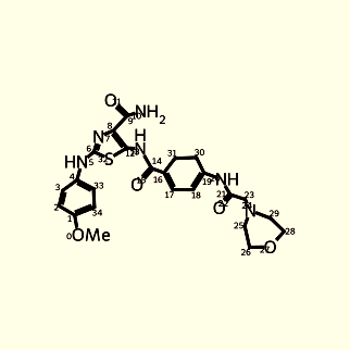 COc1ccc(Nc2nc(C(N)=O)c(NC(=O)C3=CC=C(NC(=O)CN4CCOCC4)CC3)s2)cc1